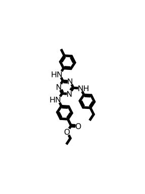 CCOC(=O)c1ccc(Nc2nc(Nc3ccc(CC)cc3)nc(Nc3cccc(C)c3)n2)cc1